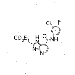 CCOC(=O)Cc1nc2nccc(C(=O)Nc3ccc(F)c(Cl)c3)c2[nH]1